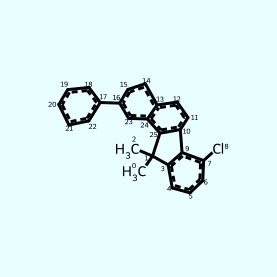 CC1(C)c2cccc(Cl)c2-c2ccc3ccc(-c4ccccc4)cc3c21